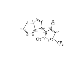 FC(F)(F)c1cc(Cl)c(-n2c[c]c3ccccc32)c(Cl)c1